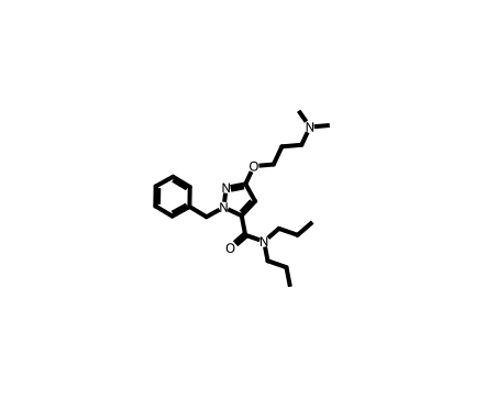 CCCN(CCC)C(=O)c1cc(OCCCN(C)C)nn1Cc1ccccc1